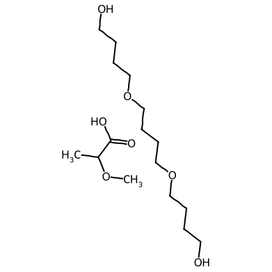 COC(C)C(=O)O.OCCCCOCCCCOCCCCO